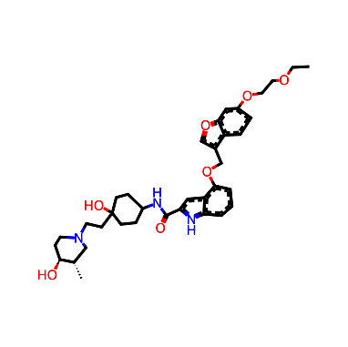 CCOCCOc1ccc2c(COc3cccc4[nH]c(C(=O)NC5CCC(O)(CCN6CC[C@H](O)[C@@H](C)C6)CC5)cc34)coc2c1